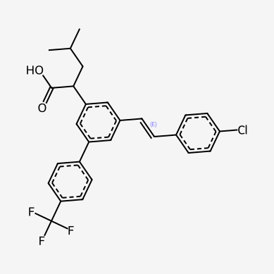 CC(C)CC(C(=O)O)c1cc(/C=C/c2ccc(Cl)cc2)cc(-c2ccc(C(F)(F)F)cc2)c1